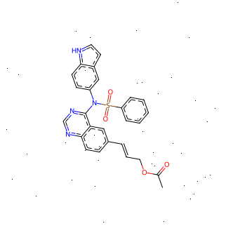 CC(=O)OCC=Cc1ccc2ncnc(N(c3ccc4[nH]ccc4c3)S(=O)(=O)c3ccccc3)c2c1